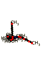 CCCCCCCCCCCCCCCC[C@H](C)C[C@H](C)C[C@H](C)/C=C(\C)C(=O)OC1C(O)C(CO)OC(OC2OC(CO)C(O)C(O)C2O)C1OC(=O)CCCCCCCCCCCCCCC